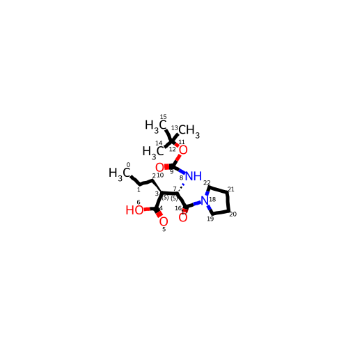 CCC[C@H](C(=O)O)[C@H](NC(=O)OC(C)(C)C)C(=O)N1CCCC1